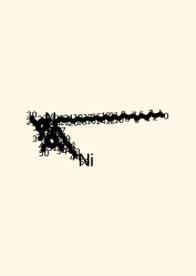 CCCCCCCCCCCCCCCCCCCCCCC=CC(=Nc1cc(CC)cc(CC)c1)C(CCCCCCCC)=Nc1cc(CC)cc(CC)c1.[Ni]